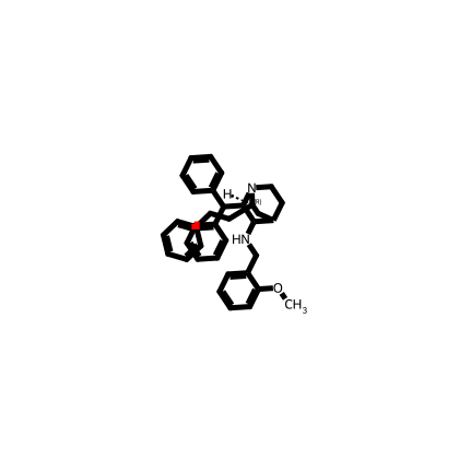 COc1ccccc1CNC1C2CCN(C1C(c1ccccc1)c1ccccc1)[C@H](CCc1ccccc1)C2